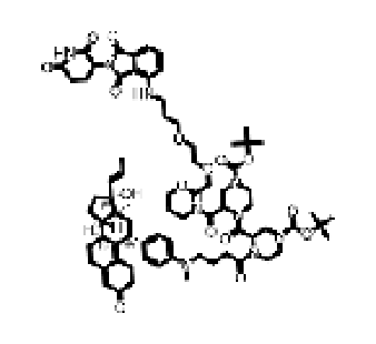 CC=C[C@]1(O)CC[C@H]2[C@@H]3CCC4=CC(=O)CCC4=C3[C@@H](c3ccc(N(C)CCCC(=O)N4CCN(C(=O)OC(C)(C)C)CC4C(=O)N4CCN(C(=O)OC(C)(C)C)CC4C(=O)NCCCOCCOCCOCCCNc4cccc5c4C(=O)N(C4CCC(=O)NC4=O)C5=O)cc3)C[C@@]21C